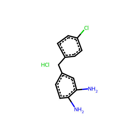 Cl.Nc1ccc(Cc2ccc(Cl)cc2)cc1N